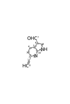 C#Cc1ccc2c(C=O)c[nH]c2n1